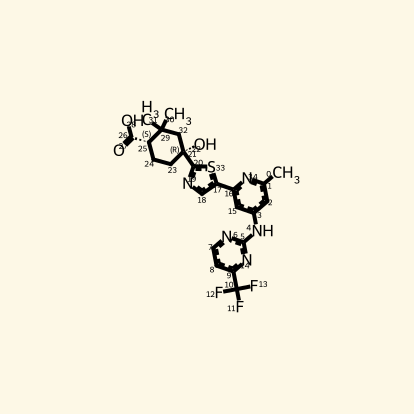 Cc1cc(Nc2nccc(C(F)(F)F)n2)cc(-c2cnc([C@@]3(O)CC[C@H](C(=O)O)C(C)(C)C3)s2)n1